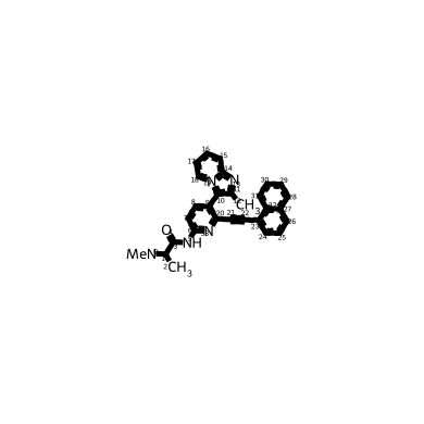 CNC(C)C(=O)Nc1ccc(-c2c(C)nc3ccccn23)c(C#Cc2cccc3ccccc23)n1